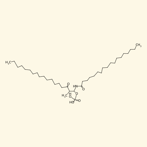 CCCCCCCCCCCCCCCCCC(=O)NC(OP(=O)(O)O)C(C)C(=O)CCCCCCCCCCCCCCC